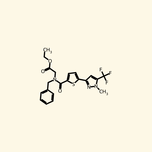 CCOC(=O)CN(Cc1ccccc1)C(=O)c1ccc(-c2cc(C(F)(F)F)n(C)n2)s1